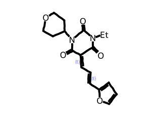 CCN1C(=O)/C(=C\C=C\c2ccco2)C(=O)N(C2CCOCC2)C1=O